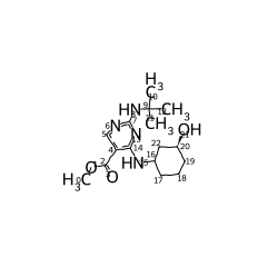 COC(=O)c1cnc(NC(C)(C)C)nc1NC1CCC[C@H](O)C1